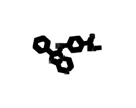 CNC(=O)c1ccc(Nc2c(-c3ccccc3)nc3cnccn23)cc1